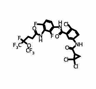 O=C(CCC(F)(OC(F)(F)F)C(F)(F)F)Nc1c(F)ccc(NC(=O)c2cc(NC(=O)C3CC3(Cl)Cl)ccc2Cl)c1F